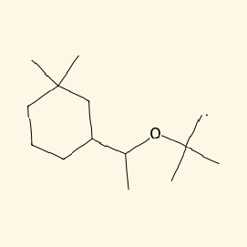 [CH2]C(C)(C)OC(C)C1CCCC(C)(C)C1